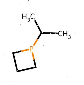 CC(C)P1CCC1